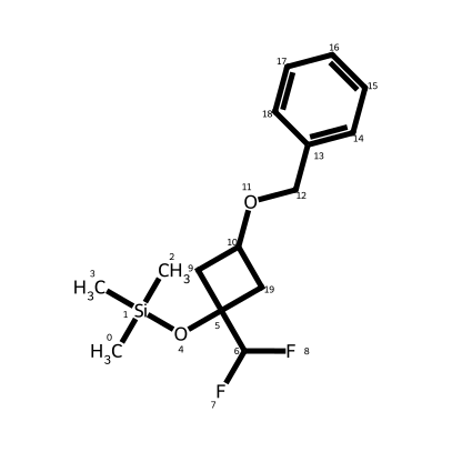 C[Si](C)(C)OC1(C(F)F)CC(OCc2ccccc2)C1